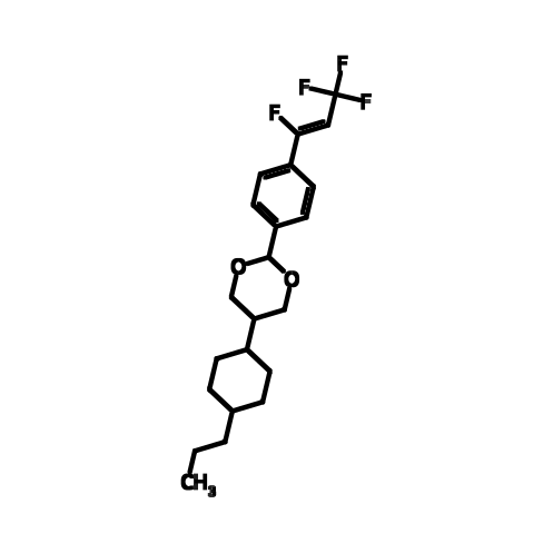 CCCC1CCC(C2COC(c3ccc(/C(F)=C/C(F)(F)F)cc3)OC2)CC1